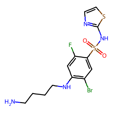 NCCCCNc1cc(F)c(S(=O)(=O)Nc2nccs2)cc1Br